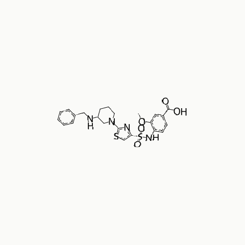 COc1cc(C(=O)O)ccc1NS(=O)(=O)c1csc(N2CCCC(NCc3ccccc3)C2)n1